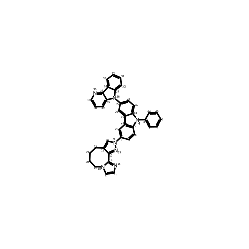 c1ccc(-n2c3ccc(-n4cc5c(n4)-c4nccn4CCCC5)cc3c3cc(-n4c5ccccc5c5ncccc54)ccc32)cc1